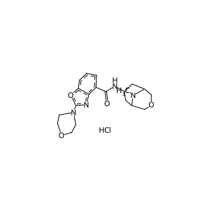 CN1C2COCC1CC(NC(=O)c1cccc3oc(N4CCOCC4)nc13)C2.Cl